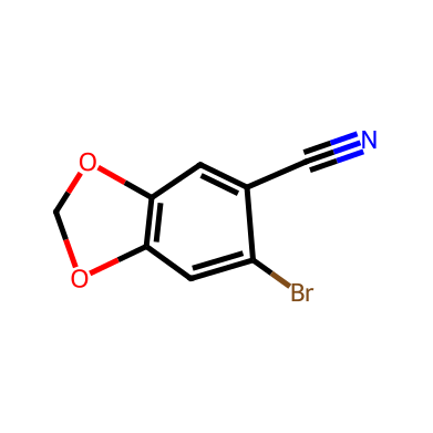 N#Cc1cc2c(cc1Br)OCO2